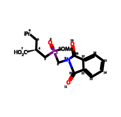 COP(=O)(C[C@@H](CC(C)C)C(=O)O)CN1C(=O)c2ccccc2C1=O